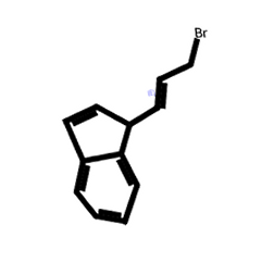 BrC/C=C/C1C=Cc2cc[c]cc21